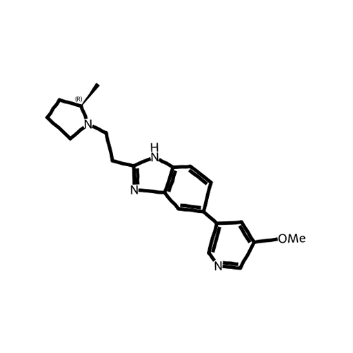 COc1cncc(-c2ccc3[nH]c(CCN4CCC[C@H]4C)nc3c2)c1